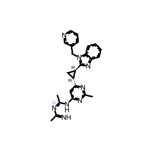 CC(=N)/N=C(/C)Nc1cc([C@@H]2C[C@H]2c2nc3ccccc3n2Cc2cccnc2)nc(C)n1